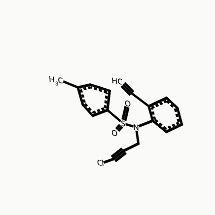 C#Cc1ccccc1N(CC#CCl)S(=O)(=O)c1ccc(C)cc1